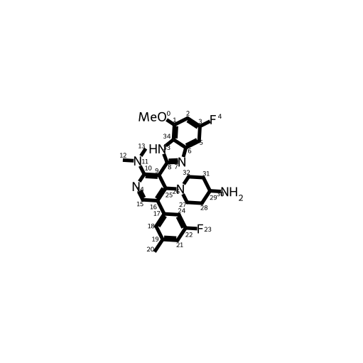 COc1cc(F)cc2nc(-c3c(N(C)C)ncc(-c4cc(C)cc(F)c4)c3N3CCC(N)CC3)[nH]c12